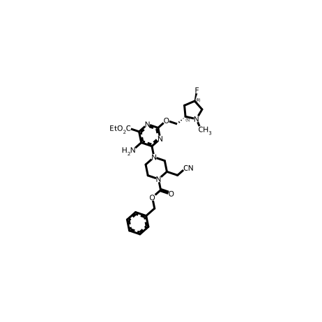 CCOC(=O)c1nc(OC[C@@H]2C[C@@H](F)CN2C)nc(N2CCN(C(=O)OCc3ccccc3)C(CC#N)C2)c1N